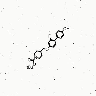 CC(C)(C)OC(=O)N1CCC(COc2ccc(-c3ccc(O)cc3)c(F)c2)CC1